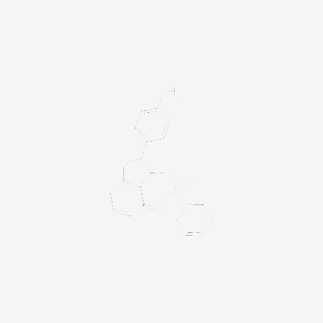 Cc1ccc(C2OC3=CC=CC(=O)C3=C2OS(=O)(=O)c2ccccc2)cc1